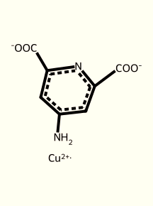 Nc1cc(C(=O)[O-])nc(C(=O)[O-])c1.[Cu+2]